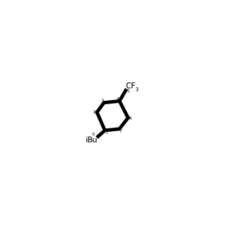 CCC(C)C1CCC(C(F)(F)F)CC1